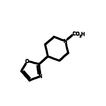 O=C(O)N1CCC(c2ncco2)CC1